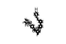 Cc1cc(C(=O)N[C@H]2CC[C@H](NC(=O)c3cc(F)cnc3Oc3cccc(-c4cccc(CCCN5CCNCC5)c4)c3)CC2)nn1C